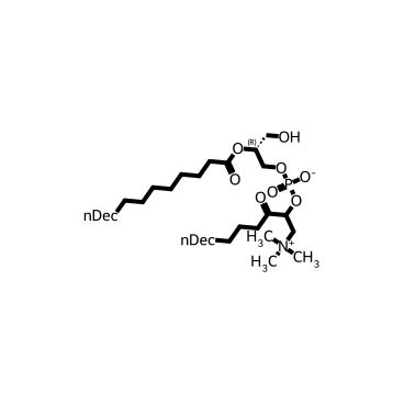 CCCCCCCCCCCCCCCCCC(=O)O[C@H](CO)COP(=O)([O-])OC(C[N+](C)(C)C)C(=O)CCCCCCCCCCCCC